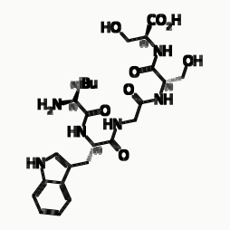 CC[C@H](C)[C@H](N)C(=O)N[C@@H](Cc1c[nH]c2ccccc12)C(=O)NCC(=O)N[C@@H](CO)C(=O)N[C@@H](CO)C(=O)O